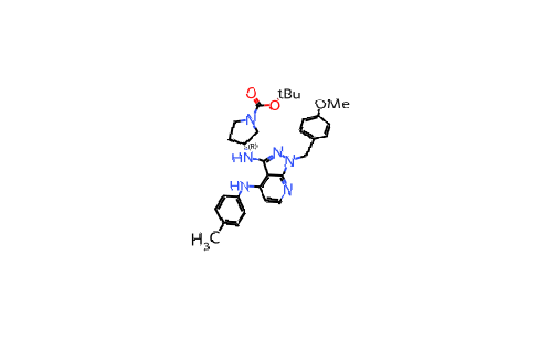 COc1ccc(Cn2nc(N[C@@H]3CCN(C(=O)OC(C)(C)C)C3)c3c(Nc4ccc(C)cc4)ccnc32)cc1